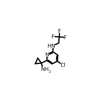 NC1(c2cc(Cl)cc(NCC(F)(F)F)n2)CC1